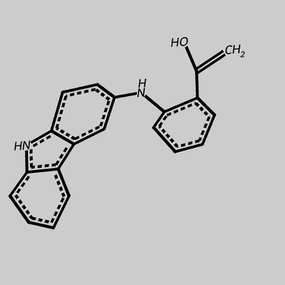 C=C(O)c1ccccc1Nc1ccc2[nH]c3ccccc3c2c1